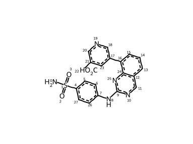 NS(=O)(=O)c1ccc(Nc2ncc3cccc(-c4cncc(C(=O)O)c4)c3n2)cc1